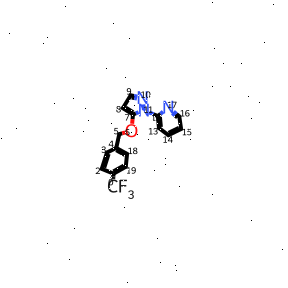 FC(F)(F)c1ccc(COc2ccnn2-c2ccccn2)cc1